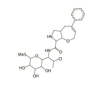 CSC1OC(C(NC(=O)C2NCC3CC(c4ccccc4)=CCOC32)C(C)Cl)C(O)C(O)C1O